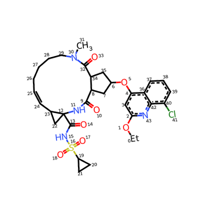 CCOc1cc(OC2CC3C(=O)NC4(C(=O)NS(=O)(=O)C5CC5)CC4C=CCCCCN(C)C(=O)C3C2)c2cccc(Cl)c2n1